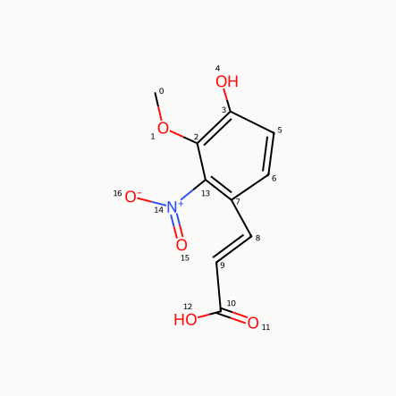 COc1c(O)ccc(/C=C/C(=O)O)c1[N+](=O)[O-]